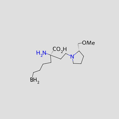 BCCCC[C@@](N)(CCN1CCC[C@H]1COC)C(=O)O